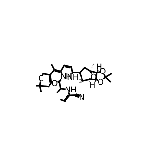 C/C=C(/C#N)NC(C)C(=O)NC(/C=C\C(N)C1C[C@@]2(C)O[C@@](C)(C1)[C@@H]1OC(C)(C)O[C@@H]12)=C(/C)C1=CCC(C)(C)CC1